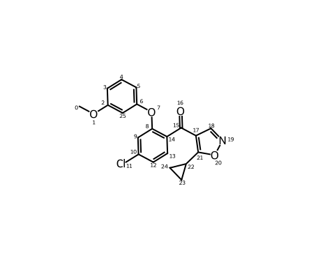 COc1cccc(Oc2cc(Cl)ccc2C(=O)c2cnoc2C2CC2)c1